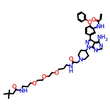 C=CC(=O)Nc1cc(-c2nn(C3CCN(CC(=O)NCCCOCCOCCOCCCNC(=O)CC(C)(C)C)CC3)c3ncnc(N)c23)ccc1Oc1ccccc1